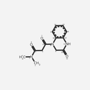 CN(C)C(=O)CC(=O)N1CC(=O)Nc2ccccc21